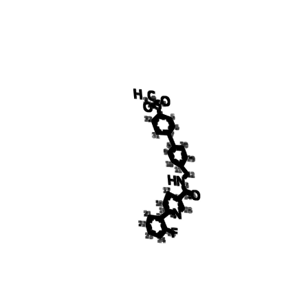 CS(=O)(=O)c1ccc(-c2ccc(CNC(=O)c3ccc(-c4ccccc4F)nc3)cc2)cc1